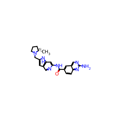 C[C@H]1CCCN1Cc1cc2cnc(NC(=O)c3ccc4nc(N)ncc4c3)cc2[nH]1